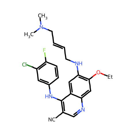 CCOc1cc2ncc(C#N)c(Nc3ccc(F)c(Cl)c3)c2cc1NCC=CCN(C)C